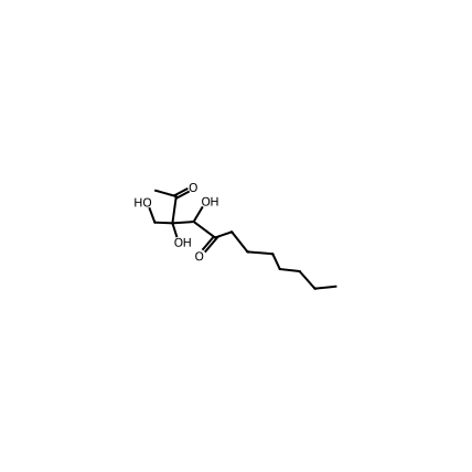 CCCCCCCC(=O)C(O)C(O)(CO)C(C)=O